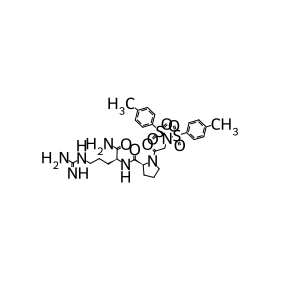 Cc1ccc(S(=O)(=O)N(CC(=O)N2CCC[C@H]2C(=O)N[C@@H](CCCNC(=N)N)C(N)=O)S(=O)(=O)c2ccc(C)cc2)cc1